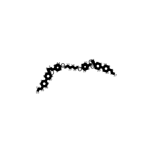 C#CC1(OC(=C)c2ccc(OCCCCCCOc3ccc(C(=O)OC4(C#C)CCC(C5CCC(CCC)CC5)CC4)cc3)cc2)CCC(C2CCC(CCC)CC2)CC1